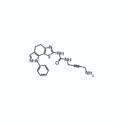 NCC#CCNC(=O)Nc1nc2c(s1)-c1c(cnn1-c1ccccc1)CC2